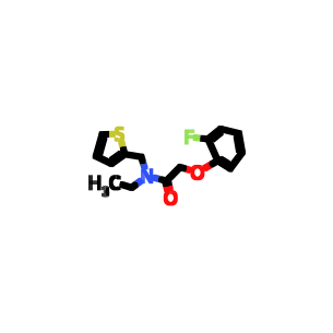 CCN(Cc1cccs1)C(=O)COc1ccccc1F